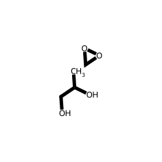 C1OO1.CC(O)CO